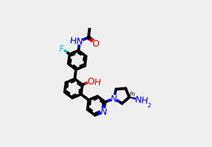 CC(=O)Nc1ccc(-c2cccc(-c3ccnc(N4CC[C@@H](N)C4)c3)c2O)cc1F